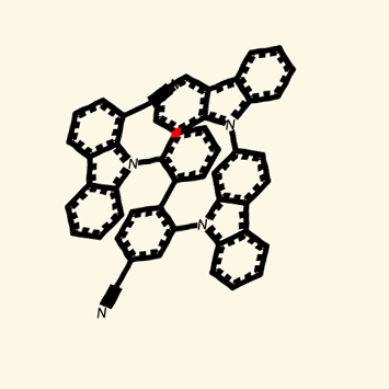 N#Cc1ccc(-c2ccccc2-n2c3ccccc3c3cccc(C#N)c32)c(-n2c3ccccc3c3ccc(-n4c5ccccc5c5ccccc54)cc32)c1